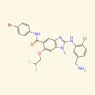 Cn1c(Nc2cc(CN)ccc2Cl)nc2cc(C(=O)Nc3ccc(Br)cc3)c(OCC(F)F)cc21